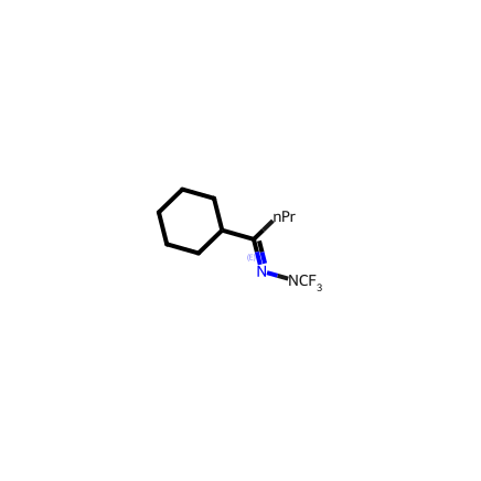 CCC/C(=N\NC(F)(F)F)C1CCCCC1